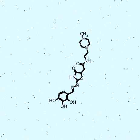 CN1CCN(CCNC(=O)CC2SC(=NN=Cc3ccc(O)c(O)c3O)NC2=O)CC1